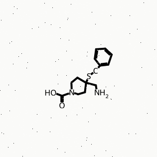 NCC1(SCc2ccccc2)CCN(C(=O)O)CC1